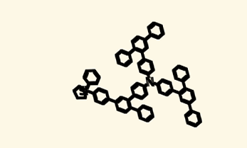 c1ccc(-c2ccc(-c3ccccc3)c(-c3ccc(N(c4ccc(-c5cc(-c6ccccc6)ccc5-c5ccccc5)cc4)c4ccc(-c5cc(-c6ccc([Si]7(c8ccccc8)CCCC7)cc6)ccc5-c5ccccc5)cc4)cc3)c2)cc1